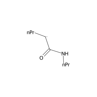 CCC[CH]C(=O)NCCC